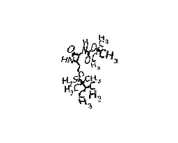 CC(C)C(C)(C)[SiH2]OCCC1NC(=O)[C@H]1NC(=O)OC(C)(C)C